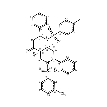 Cc1ccc(S(=O)(=O)N2[C@H](c3ccccc3)CC(=O)[C@@H]3CN(S(=O)(=O)c4cccc(Cl)c4)[C@H](c4ccccc4)C[C@@H]32)cc1